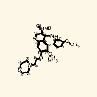 COc1cccc(Nc2c([N+](=O)[O-])cnc3cc(OCCN4CCOCC4)c(OC)cc23)c1